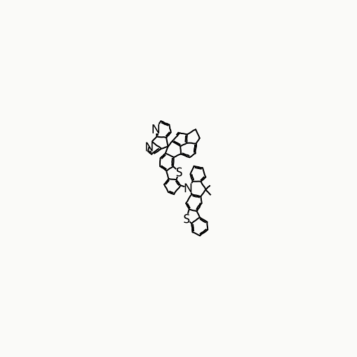 CC1(C)c2ccccc2N(c2cccc3c2sc2c4c(ccc23)C2(c3cccnc3-c3ncccc32)c2ccc3c5c(ccc-4c25)CC3)c2cc3sc4ccccc4c3cc21